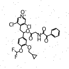 O=C(CNC(=O)C(=O)c1ccccc1)OC(Cc1c(Cl)c[n+]([O-])cc1Cl)c1ccc(OC(F)F)c(OCC2CC2)c1